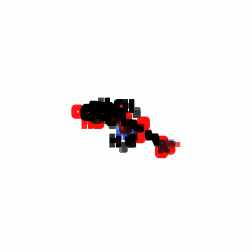 CC(=O)NC(CC(=O)OCC(=O)[C@@]1(O)[C@H](C)C[C@H]2[C@@H]3CCC4=CC(=O)C=C[C@]4(C)[C@@]3(F)[C@@H](O)C[C@@]21C)C(=O)OCCCCO[N+](=O)[O-]